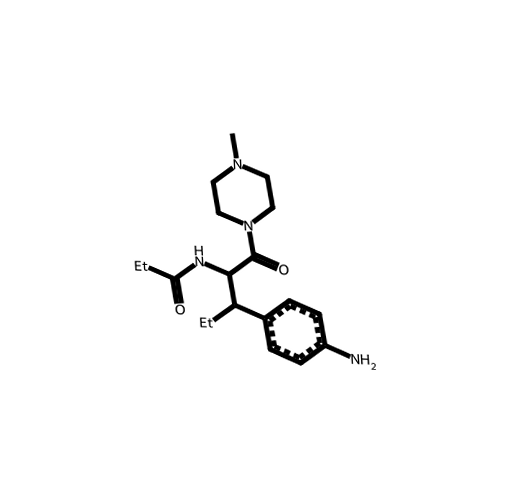 CCC(=O)NC(C(=O)N1CCN(C)CC1)C(CC)c1ccc(N)cc1